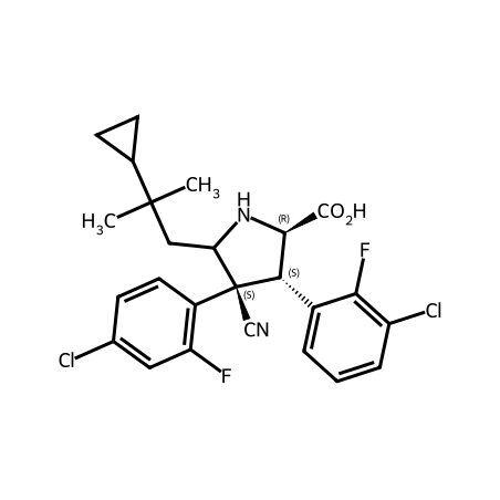 CC(C)(CC1N[C@@H](C(=O)O)[C@H](c2cccc(Cl)c2F)[C@]1(C#N)c1ccc(Cl)cc1F)C1CC1